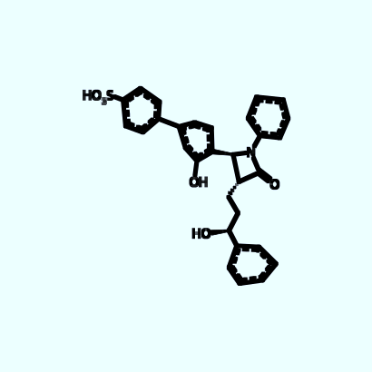 O=C1[C@H](CC[C@H](O)c2ccccc2)[C@@H](c2ccc(-c3ccc(S(=O)(=O)O)cc3)cc2O)N1c1ccccc1